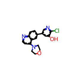 Oc1cc(-c2ccc3nccc(N4CCOCC4)c3c2)cnc1Cl